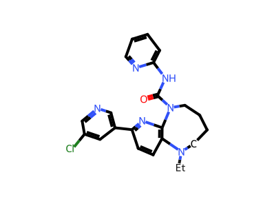 CCN1CCCCN(C(=O)Nc2ccccn2)c2nc(-c3cncc(Cl)c3)ccc21